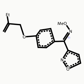 C=C(CC)COc1ccc(/C(=N\OC)c2ccon2)cc1